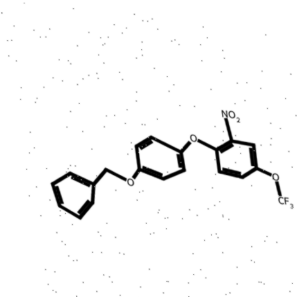 O=[N+]([O-])c1cc(OC(F)(F)F)ccc1Oc1ccc(OCc2ccccc2)cc1